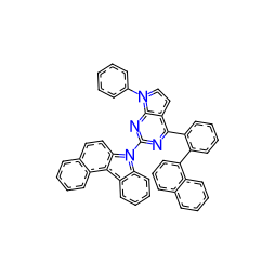 c1ccc(-n2ccc3c(-c4ccccc4-c4cccc5ccccc45)nc(-n4c5ccccc5c5c6ccccc6ccc54)nc32)cc1